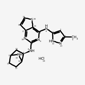 Cc1cc(Nc2nc(N[C@@H]3CC4CCC3N4)nc3ccsc23)[nH]n1.Cl